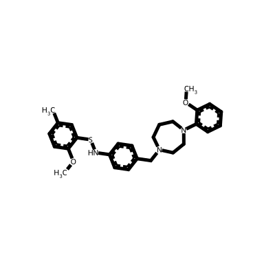 COc1ccc(C)cc1SNc1ccc(CN2CCCN(c3ccccc3OC)CC2)cc1